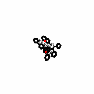 c1ccc(-c2nc(-c3ccccc3-n3c4ccccc4c4ccc5c6ccccc6n(-c6ccccc6)c5c43)nc3c2-c2ccccc2[Si]3(c2ccccc2)c2ccccc2)cc1